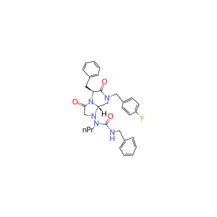 CCCN(C(=O)NCc1ccccc1)N1CC(=O)N2[C@@H](Cc3ccccc3)C(=O)N(Cc3ccc(F)cc3)C[C@@H]21